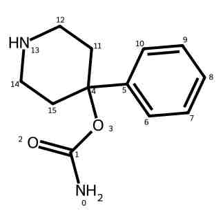 NC(=O)OC1(c2ccccc2)CCNCC1